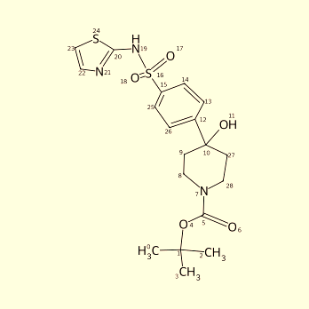 CC(C)(C)OC(=O)N1CCC(O)(c2ccc(S(=O)(=O)Nc3nccs3)cc2)CC1